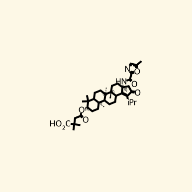 Cc1cnc(C(=O)N[C@@]23CC[C@]4(C)C(CCC5[C@@]6(C)CC[C@H](OC(=O)CC(C)(C)C(=O)O)C(C)(C)C6CC[C@]54C)C2=C(C(C)C)C(=O)C3)o1